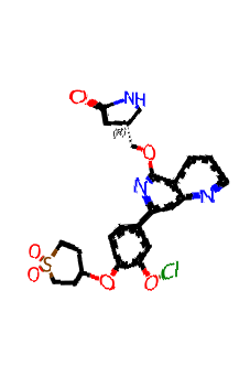 O=C1C[C@@H](COc2nc(-c3ccc(OC4CCS(=O)(=O)CC4)c(OCl)c3)cc3ncccc23)CN1